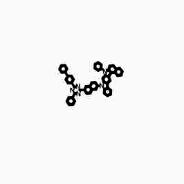 c1ccc(-c2ccc(-c3nc(-c4ccccc4)nc(-c4ccc5cc(-n6c7ccccc7c7cc8c9c%10ccccc%10ccc9n(-c9ccccc9)c8cc76)ccc5c4)n3)cc2)cc1